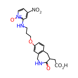 O=C(O)CC1Cc2ccc(OCCCNc3cc([N+](=O)[O-])cc[n+]3[O-])cc2CNC1=O